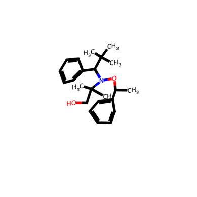 CC(ON(C(c1ccccc1)C(C)(C)C)C(C)(C)CO)c1ccccc1